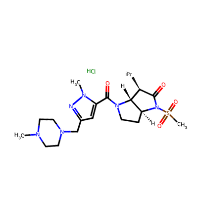 CC(C)[C@H]1C(=O)N(S(C)(=O)=O)[C@H]2CCN(C(=O)c3cc(CN4CCN(C)CC4)nn3C)[C@H]12.Cl